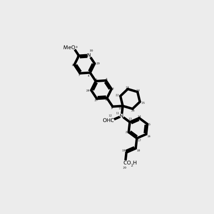 COc1ccc(-c2ccc(CC3(N(C=O)c4cccc(/C=C/C(=O)O)c4)CCCCC3)cc2)cn1